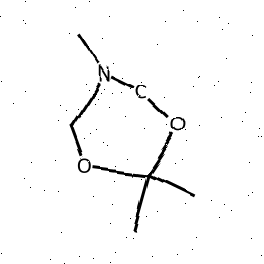 CN1COC(C)(C)OC1